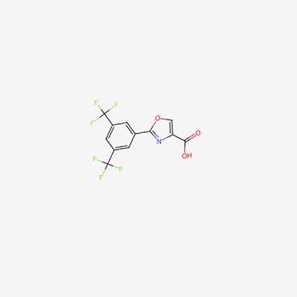 O=C(O)c1coc(-c2cc(C(F)(F)F)cc(C(F)(F)F)c2)n1